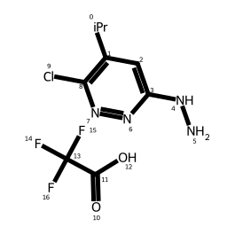 CC(C)c1cc(NN)nnc1Cl.O=C(O)C(F)(F)F